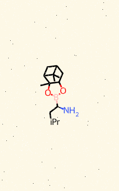 CC(C)C[C@H](N)B1OC2CC3CC(C3(C)C)C2(C)O1